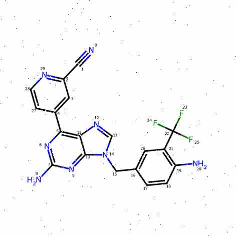 N#Cc1cc(-c2nc(N)nc3c2ncn3Cc2ccc(N)c(C(F)(F)F)c2)ccn1